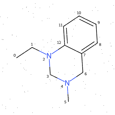 CCN1CN(C)Cc2ccccc21